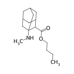 CCCCOC(=O)C1C2CC3CC(C2)CC1(NC)C3